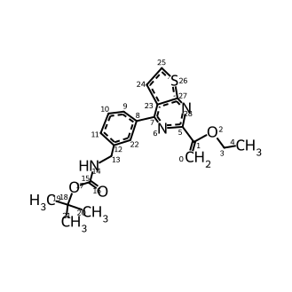 C=C(OCC)c1nc(-c2cccc(CNC(=O)OC(C)(C)C)c2)c2ccsc2n1